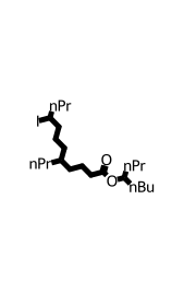 CCCCC(CCC)OC(=O)CCCC(CCC)CCCC(I)CCC